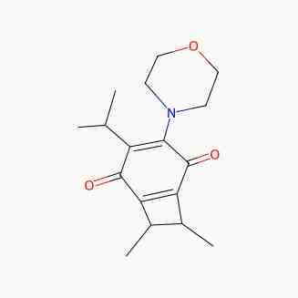 CC(C)C1=C(N2CCOCC2)C(=O)C2=C(C1=O)C(C)C2C